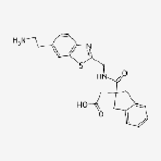 NCCc1ccc2nc(CNC(=O)C3(CC(=O)O)Cc4ccccc4C3)sc2c1